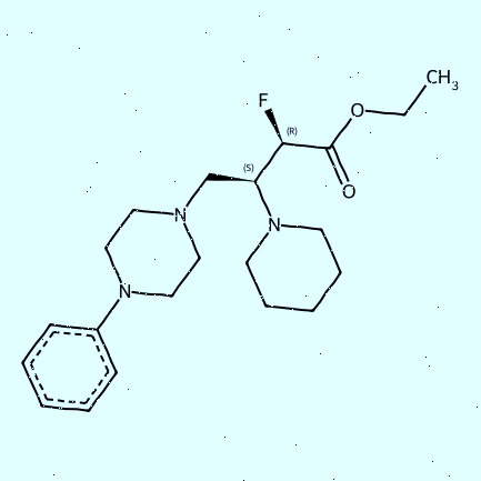 CCOC(=O)[C@H](F)[C@H](CN1CCN(c2ccccc2)CC1)N1CCCCC1